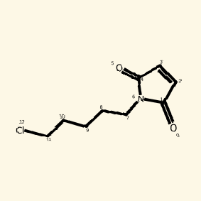 O=C1C=CC(=O)N1CCCCCCl